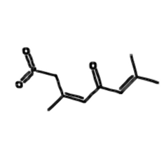 CC(C)=CC(=O)C=C(C)CP(=O)=O